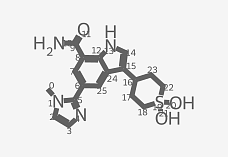 Cn1ccnc1-c1cc(C(N)=O)c2[nH]cc(C3CCS(O)(O)CC3)c2c1